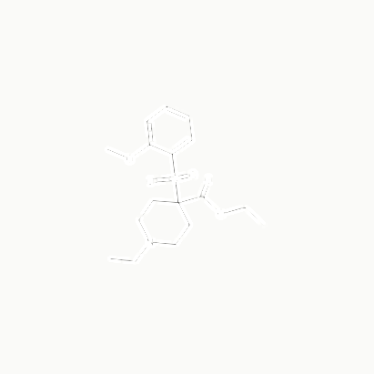 CCOC(=O)C1(S(=O)(=O)c2ccccc2OC)CCN(CC)CC1